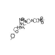 C=C(NC[C@H]1CCC[C@@H](c2ccc(C)cc2)O1)/C(C)=C(\N=C/N)C(=O)N1CCC(N2CC3CN(S(C)(=O)=O)CC3C2)CC1